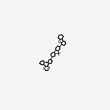 CC1(C)c2cc(-c3ccc4c(c3)c3ccccc3c3nccnc43)ccc2-c2ccc(-c3cccc4c3oc3ccccc34)cc21